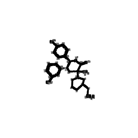 C[C@@]1(N2CCCC(CC(=O)O)C2)C[C@H](c2cccc(Cl)c2)[C@@H](c2ccc(Cl)cc2)OC1=O